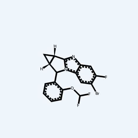 Fc1cc2nc3n(c2cc1Br)C(c1ccccc1OC(F)F)[C@@H]1C[C@H]31